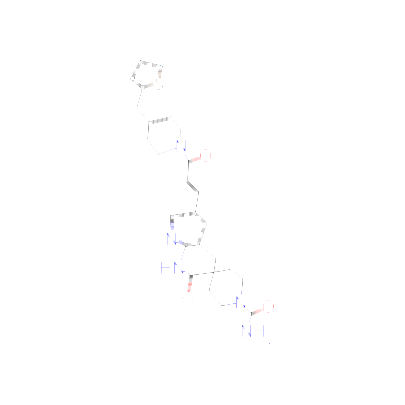 NC(=O)N1CCC2(CC1)Cc1cc(/C=C/C(=O)N3CC=C(Cc4cccs4)CC3)cnc1NC2=O